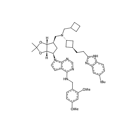 COc1ccc(CNc2ncnc3c2ccn3[C@@H]2C[C@H](CN(CC3CCC3)[C@H]3C[C@H](CCc4nc5cc(C(C)(C)C)ccc5[nH]4)C3)[C@H]3OC(C)(C)O[C@H]32)c(OC)c1